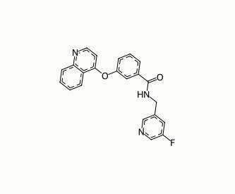 O=C(NCc1cncc(F)c1)c1cccc(Oc2ccnc3ccccc23)c1